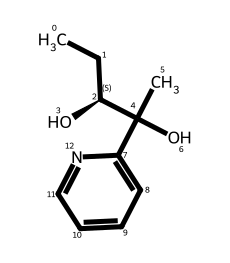 CC[C@H](O)C(C)(O)c1ccccn1